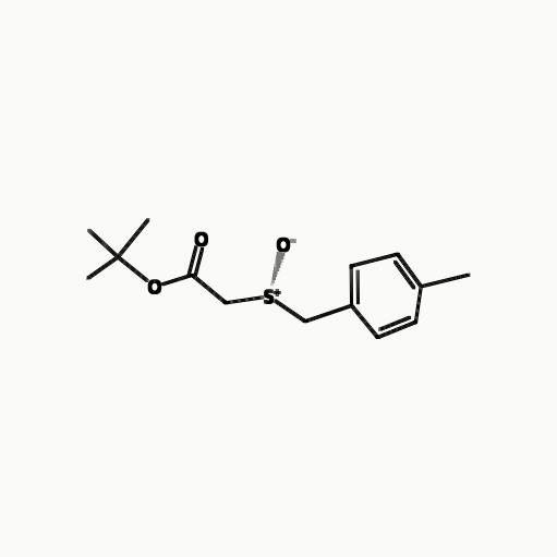 Cc1ccc(C[S@@+]([O-])CC(=O)OC(C)(C)C)cc1